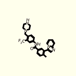 Cc1ccc(C(=O)Nc2ccc(CN3CCNCC3)c(C(F)(F)F)c2)cc1-c1cnc2ccccn12